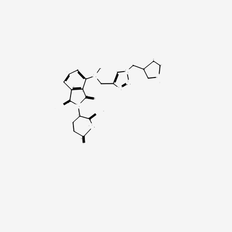 CN(Cc1cn(CC2CCOC2)nn1)c1cccc2c1C(=O)N(C1CCC(=O)NC1=O)C2=O